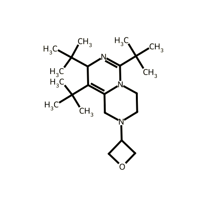 CC(C)(C)C1=NC(C(C)(C)C)C(C(C)(C)C)=C2CN(C3COC3)CCN12